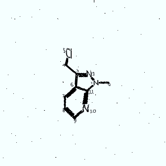 Cn1nc(CCl)c2cccnc21